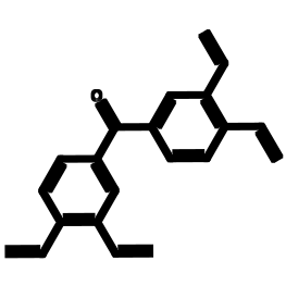 C=Cc1ccc(C(=O)c2ccc(C=C)c(C=C)c2)cc1C=C